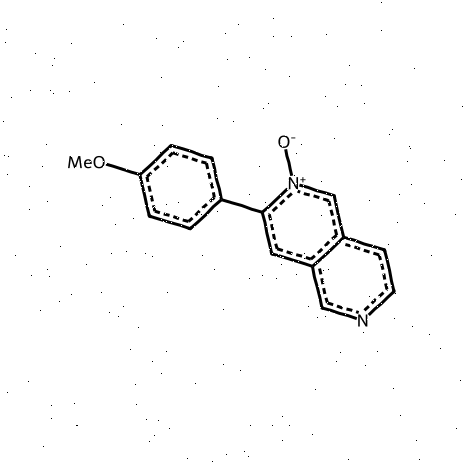 COc1ccc(-c2cc3cnccc3c[n+]2[O-])cc1